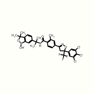 Cc1cc(C2=NOC(c3cc(Cl)c(Cl)c(Cl)c3)(C(F)(F)F)C2)ccc1C(=O)NC(C)(C)c1ccc2c(c1)B(O)OC2(C)C